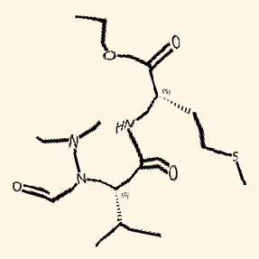 CCOC(=O)[C@H](CCSC)NC(=O)[C@H](C(C)C)N(C=O)N(C)C